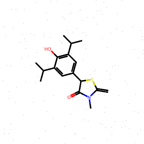 C=C1SC(c2cc(C(C)C)c(O)c(C(C)C)c2)C(=O)N1C